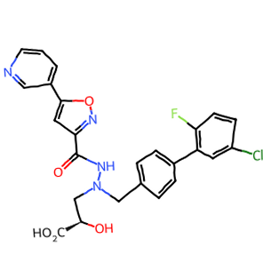 O=C(NN(Cc1ccc(-c2cc(Cl)ccc2F)cc1)C[C@@H](O)C(=O)O)c1cc(-c2cccnc2)on1